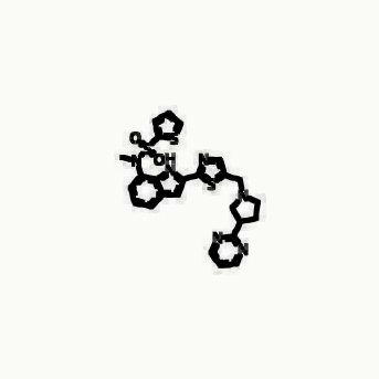 CN(c1cccc2cc(-c3ncc(CN4CCC(c5ncccn5)C4)s3)[nH]c12)S(=O)(=O)c1cccs1